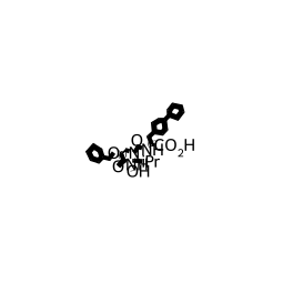 CC(C)CN(C[C@H](OCc1ccccc1)C(=O)NO)C(=O)N[C@@H](Cc1ccc(-c2ccccc2)cc1)C(=O)O